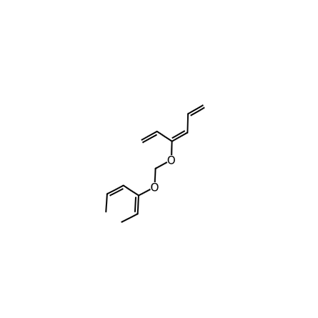 C=C/C=C(\C=C)OCOC(/C=C\C)=C/C